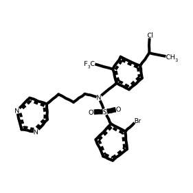 CC(Cl)c1ccc(N(CCCc2cncnc2)S(=O)(=O)c2ccccc2Br)c(C(F)(F)F)c1